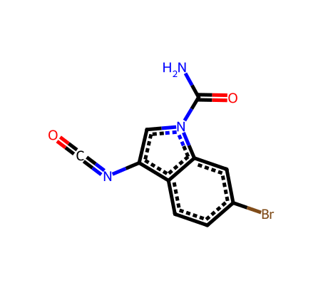 NC(=O)n1cc(N=C=O)c2ccc(Br)cc21